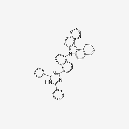 C1=Cc2ccc3c(c2CC1)c1c2ccccc2ccc1n3-c1cccc2c(C3=NC(c4ccccc4)NC(c4ccccc4)=N3)cccc12